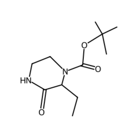 CCC1C(=O)NCCN1C(=O)OC(C)(C)C